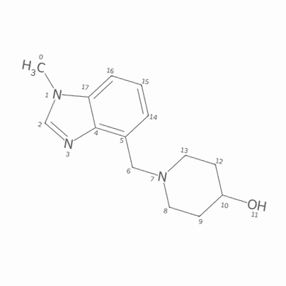 Cn1cnc2c(CN3CCC(O)CC3)cccc21